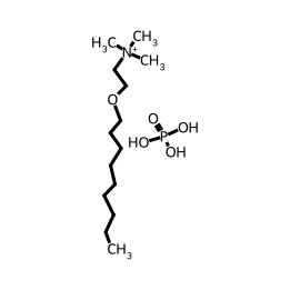 CCCCCCCCCOCC[N+](C)(C)C.O=P(O)(O)O